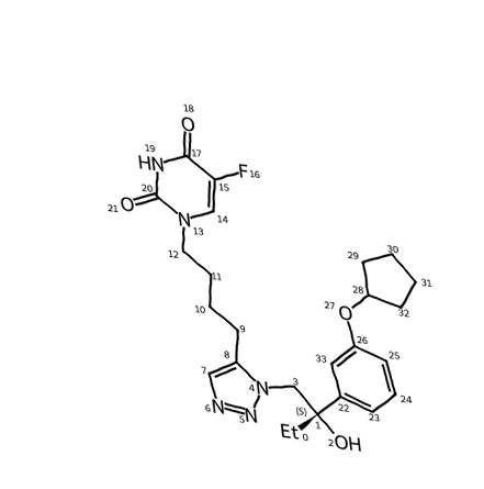 CC[C@@](O)(Cn1nncc1CCCCn1cc(F)c(=O)[nH]c1=O)c1cccc(OC2CCCC2)c1